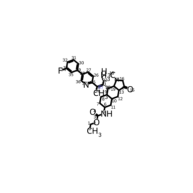 CCOC(=O)NC1CCC2C(C1)CC1C(=O)C[C@@H](C)C1[C@H]2/C(C)=C(\C)c1ccc(-c2cccc(F)c2)cn1